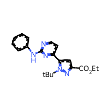 CCOC(=O)c1cc(-c2ccnc(Nc3ccccc3)n2)n(C(C)(C)C)n1